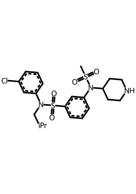 CC(C)CN(c1cccc(Cl)c1)S(=O)(=O)c1cccc(N(C2CCNCC2)S(C)(=O)=O)c1